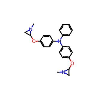 CN1CC1Oc1ccc(N(c2ccccc2)c2ccc(OC3CN3C)cc2)cc1